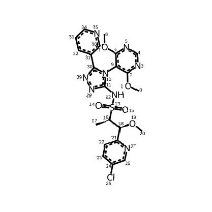 COc1ncnc(OC)c1-n1c(NS(=O)(=O)[C@H](C)[C@@H](OC)c2ccc(Cl)cn2)nnc1-c1cccnc1